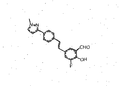 Cn1ccc(-c2ccc(/C=C/c3cc(F)c(O)c(C=O)c3)cc2)n1